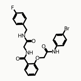 O=C(CNC(=O)c1ccccc1OCC(=O)Nc1ccc(Br)cc1)NCc1ccc(F)cc1